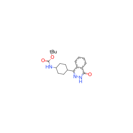 CC(C)(C)OC(=O)NC1CCC(c2n[nH]c(=O)c3ccccc23)CC1